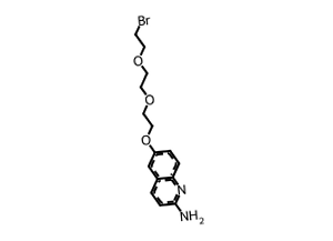 Nc1ccc2cc(OCCOCCOCCBr)ccc2n1